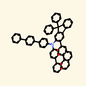 c1ccc(-c2ccc(-c3ccc(N(c4ccc(-c5ccccc5)cc4)c4cc5c(cc4-c4ccc6c(ccc7ccccc76)c4)-c4ccccc4C5(c4ccccc4)c4ccccc4)cc3)cc2)cc1